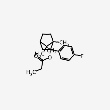 CCC(=O)O[C@]1(c2ccc(F)cc2)CC2CCC1(C)C2(C)C